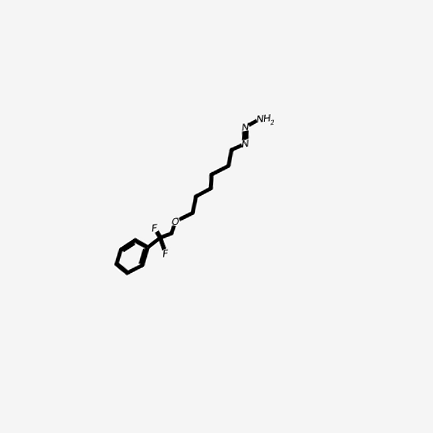 NN=NCCCCCCOCC(F)(F)C1=CCCC=C1